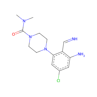 CN(C)C(=O)N1CCN(c2cc(Cl)cc(N)c2C=N)CC1